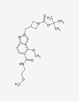 COCCNC(=O)c1ccc2nn(CC3CN(C(=O)OC(C)(C)C)C3)cc2c1OC